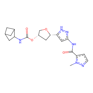 Cn1nccc1C(=O)Nc1cc([C@@H]2C[C@H](OC(=O)NC3CC4CC3C4)CO2)[nH]n1